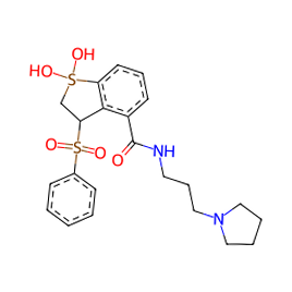 O=C(NCCCN1CCCC1)c1cccc2c1C(S(=O)(=O)c1ccccc1)CS2(O)O